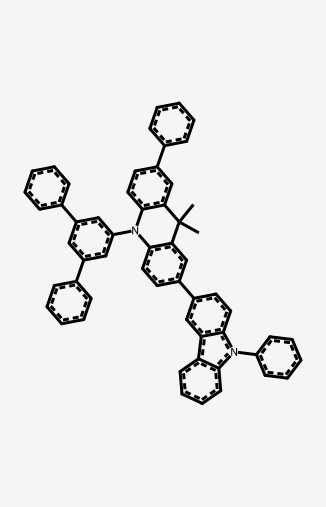 CC1(C)c2cc(-c3ccccc3)ccc2N(c2cc(-c3ccccc3)cc(-c3ccccc3)c2)c2ccc(-c3ccc4c(c3)c3ccccc3n4-c3ccccc3)cc21